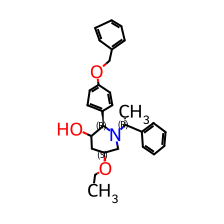 CCO[C@H]1CC(O)[C@@H](c2ccc(OCc3ccccc3)cc2)N([C@H](C)c2ccccc2)C1